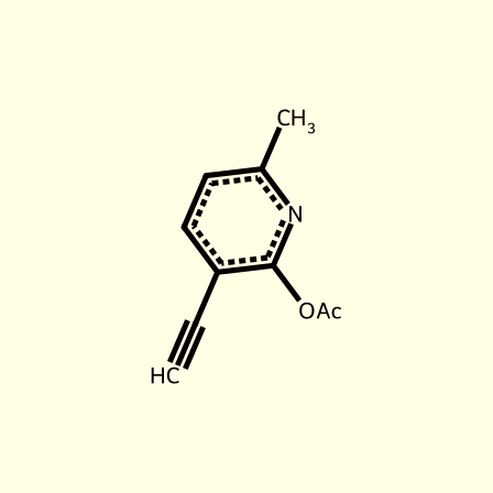 C#Cc1ccc(C)nc1OC(C)=O